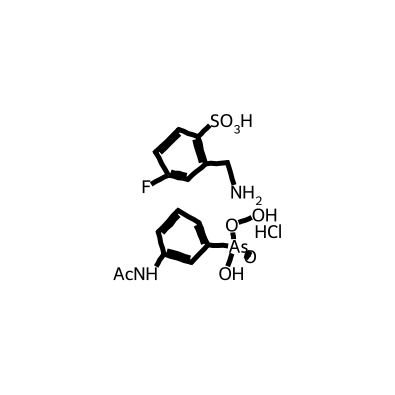 CC(=O)Nc1cccc([As](=O)(O)OO)c1.Cl.NCc1cc(F)ccc1S(=O)(=O)O